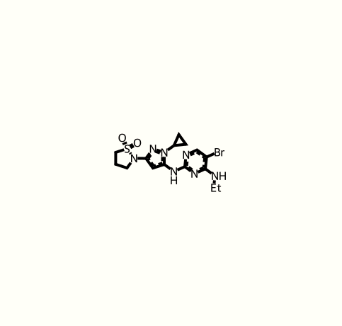 CCNc1nc(Nc2cc(N3CCCS3(=O)=O)nn2C2CC2)ncc1Br